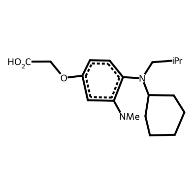 CNc1cc(OCC(=O)O)ccc1N(CC(C)C)C1CCCCC1